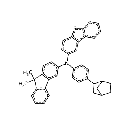 CC1(C)c2ccccc2-c2cc(N(c3ccc(C4CC5CCC4C5)cc3)c3ccc4sc5ccccc5c4c3)ccc21